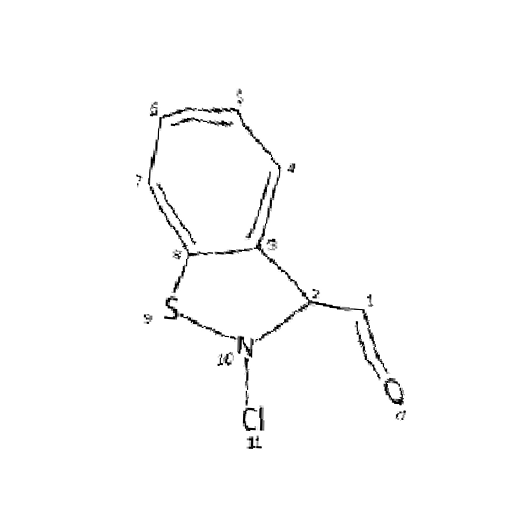 O=CC1c2ccccc2SN1Cl